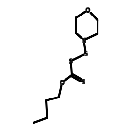 CCCCOC(=S)SSN1CCOCC1